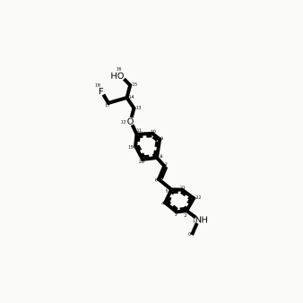 CNc1ccc(C=Cc2ccc(OCC(CO)CF)cc2)cc1